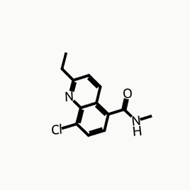 CCc1ccc2c(C(=O)NC)ccc(Cl)c2n1